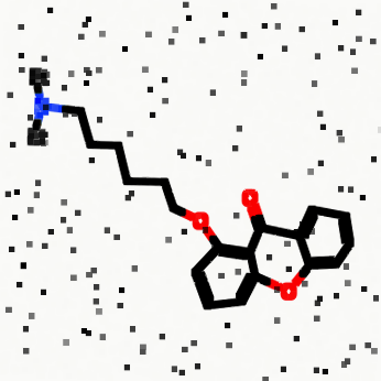 CCN(CC)CCCCCCOc1cccc2oc3ccccc3c(=O)c12